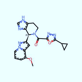 COc1cccn2nc([C@H]3c4nc[nH]c4CCN3C(=O)c3nnc(C4CC4)o3)cc12